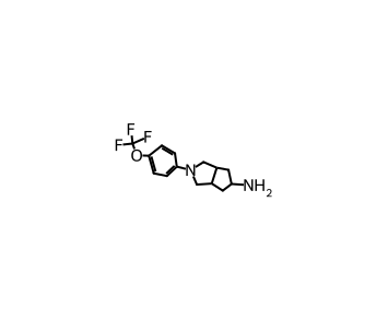 NC1CC2CN(c3ccc(OC(F)(F)F)cc3)CC2C1